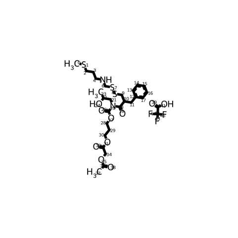 CSCCCNCSSCC(Cc1ccccc1)C(=O)N(CC(C)O)C(=O)OCCCOC(=O)COC(C)=O.O=C(O)C(F)(F)F